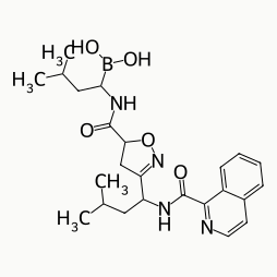 CC(C)CC(NC(=O)C1CC(C(CC(C)C)NC(=O)c2nccc3ccccc23)=NO1)B(O)O